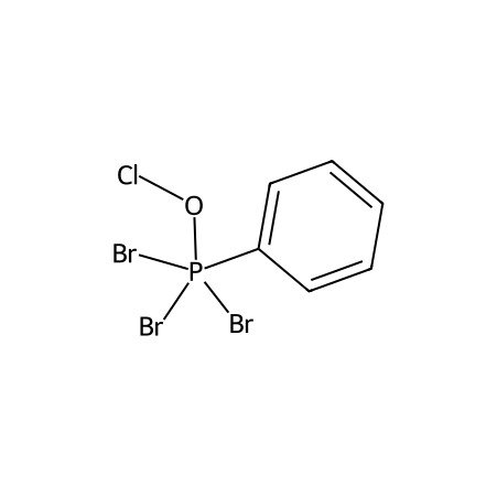 ClOP(Br)(Br)(Br)c1ccccc1